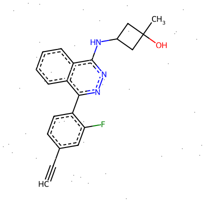 C#Cc1ccc(-c2nnc(NC3CC(C)(O)C3)c3ccccc23)c(F)c1